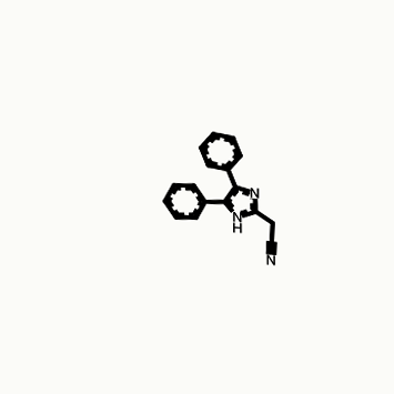 N#CCc1nc(-c2ccccc2)c(-c2ccccc2)[nH]1